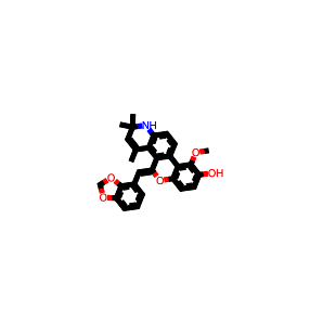 COc1c(O)ccc2c1-c1ccc3c(c1/C(=C/c1cccc4c1OCO4)O2)C(C)=CC(C)(C)N3